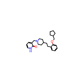 O=c1[nH]cccc1CN1CCC(CCc2ccccc2OCC2CCCC2)CC1